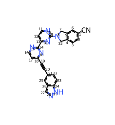 N#Cc1ccc2c(c1)CN(c1nccc(-c3nccc(C#Cc4ccc5[nH]ncc5c4)n3)n1)C2